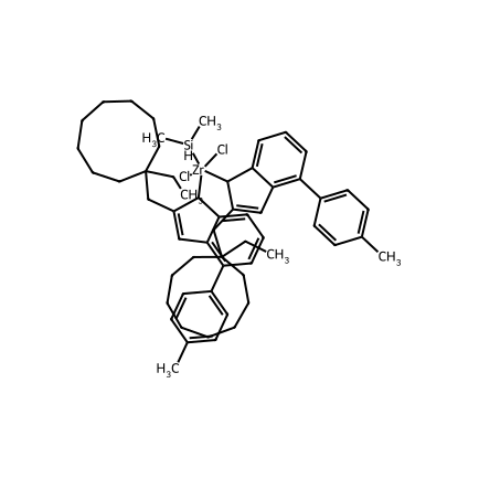 CCC1(CC2=Cc3c(-c4ccc(C)cc4)cccc3[CH]2[Zr]([Cl])([Cl])([CH]2C(CC3(CC)CCCCCCCC3)=Cc3c(-c4ccc(C)cc4)cccc32)[SiH](C)C)CCCCCCCC1